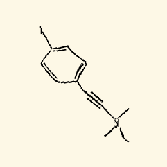 C[Si](C)(C)C#Cc1ccc(I)cc1